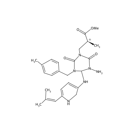 COC(=O)[C@@H](C)CN1C(=O)N(N)C(NC2=CC=C(C=C(C)C)NC2)N(Cc2ccc(C)cc2)C1=O